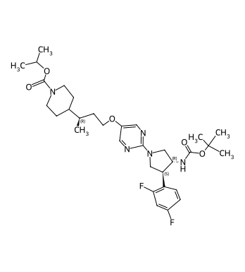 CC(C)OC(=O)N1CCC([C@H](C)CCOc2cnc(N3C[C@H](NC(=O)OC(C)(C)C)[C@@H](c4ccc(F)cc4F)C3)nc2)CC1